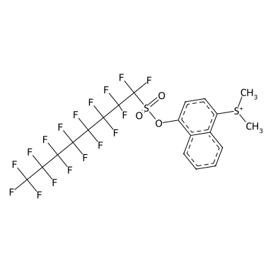 C[S+](C)c1ccc(OS(=O)(=O)C(F)(F)C(F)(F)C(F)(F)C(F)(F)C(F)(F)C(F)(F)C(F)(F)C(F)(F)F)c2ccccc12